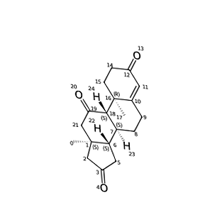 C[C@@]12CC(=O)C[C@H]1[C@@H]1CCC3=CC(=O)CC[C@]3(C)[C@H]1C(=O)C2